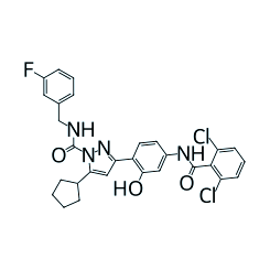 O=C(Nc1ccc(-c2cc(C3CCCC3)n(C(=O)NCc3cccc(F)c3)n2)c(O)c1)c1c(Cl)cccc1Cl